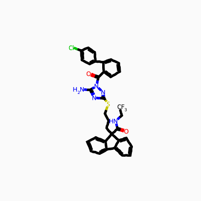 Nc1nc(SCCCC2(C(=O)NCC(F)(F)F)c3ccccc3-c3ccccc32)nn1C(=O)c1ccccc1-c1ccc(Cl)cc1